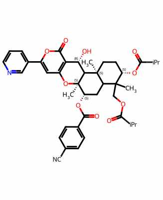 CC(C)C(=O)OCC1(C)C2C[C@H](OC(=O)c3ccc(C#N)cc3)[C@@]3(C)Oc4cc(-c5cccnc5)oc(=O)c4[C@H](O)C3[C@@]2(C)CC[C@@H]1OC(=O)C(C)C